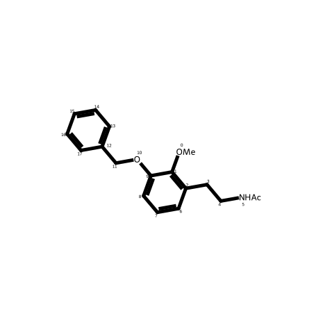 COc1c(CCNC(C)=O)cccc1OCc1ccccc1